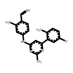 Cc1nc(Nc2ccc(C=N)c(N)c2)cc(-c2cc(Cl)ccc2C)n1